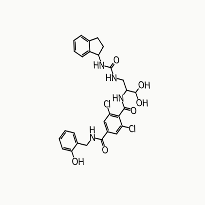 O=C(NCC(NC(=O)c1c(Cl)cc(C(=O)NCc2ccccc2O)cc1Cl)C(O)O)NC1CCc2ccccc21